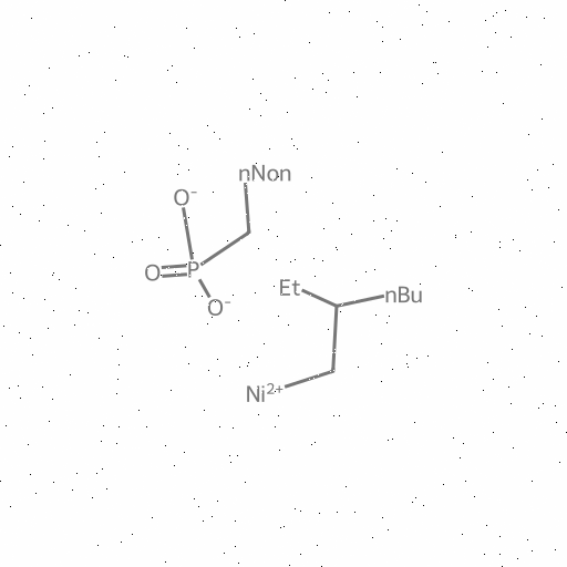 CCCCC(CC)[CH2][Ni+2].CCCCCCCCCCP(=O)([O-])[O-]